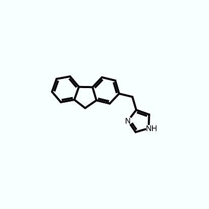 c1ccc2c(c1)Cc1cc(Cc3c[nH]cn3)ccc1-2